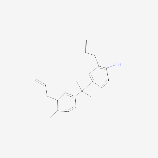 C=CCc1cc(C(C)(C)c2ccc(N)c(CC=C)c2)ccc1C